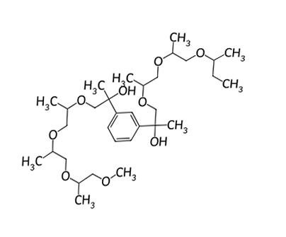 CCC(C)OCC(C)OCC(C)OCC(C)(O)c1cccc(C(C)(O)COC(C)COC(C)COC(C)COC)c1